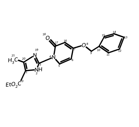 CCOC(=O)c1[nH]c(-n2ccc(OCc3ccccc3)cc2=O)nc1C